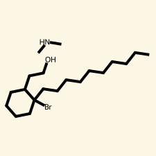 CCCCCCCCCCC1(Br)CCCCC1CCO.CNC